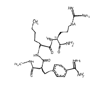 CCCCC(NC(=O)C(Cc1ccc(C(=N)N)cc1)C(=O)NC)C(=O)N[C@@H](CCCNC(=N)N)C(N)=O